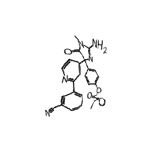 CN1C(=O)C(c2ccc(OS(C)(=O)=O)cc2)(c2ccnc(-c3cccc(C#N)c3)c2)N=C1N